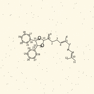 C=C(CC/C=C(\C)CCC=C(C)C)C1OC(c2ccccc2)C(c2ccccc2)O1